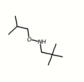 CC(C)CONCC(C)(C)C